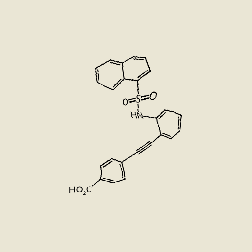 O=C(O)c1ccc(C#Cc2ccccc2NS(=O)(=O)c2cccc3ccccc23)cc1